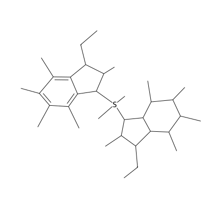 CCC1c2c(C)c(C)c(C)c(C)c2C(S(C)(C)C2C(C)C(CC)C3C(C)C(C)C(C)C(C)C32)C1C